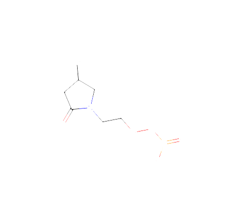 O=C(O)C1CC(=O)N(CCOO[PH](=O)O)C1